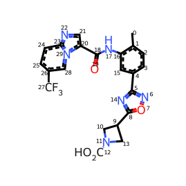 Cc1ccc(-c2noc(C3CN(C(=O)O)C3)n2)cc1NC(=O)c1cnc2ccc(C(F)(F)F)cn12